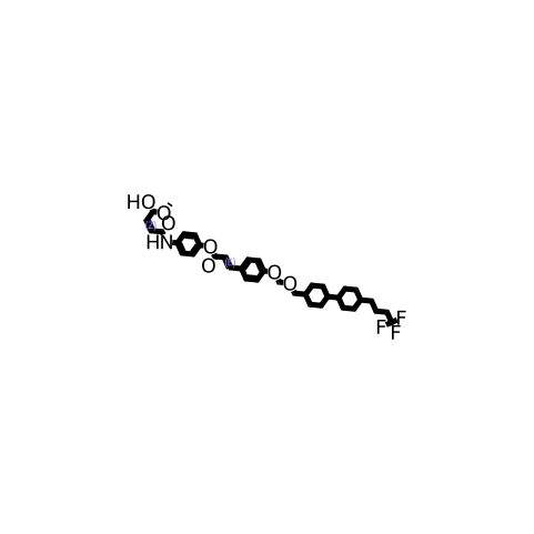 COC(O)/C=C\C(=O)Nc1ccc(OC(=O)/C=C/c2ccc(OCOCC3CCC(C4CCC(CCCC(F)(F)F)CC4)CC3)cc2)cc1